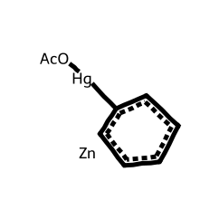 CC(=O)[O][Hg][c]1ccccc1.[Zn]